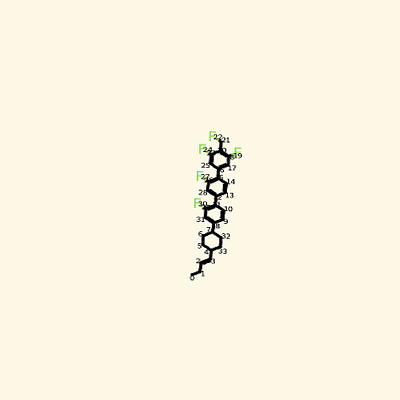 CC/C=C/C1CCC(c2ccc(-c3ccc(-c4cc(F)c(CF)c(F)c4)c(F)c3)c(F)c2)CC1